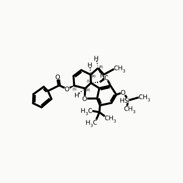 CN1CC[C@]23c4c5c(O[SiH](C)C)cc(C(C)(C)C)c4O[C@H]2[C@@H](OC(=O)c2ccccc2)C=C[C@H]3[C@H]1C5